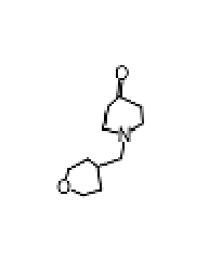 O=C1CCN(CC2CCOCC2)CC1